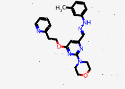 Cc1cccc(NN=Cc2cc(OCCc3ccccn3)nc(N3CCOCC3)n2)c1